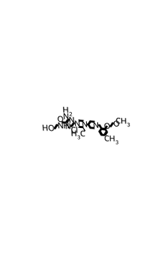 CC[C@H]1CN(c2nc(N)c(C(=O)NCCO)nc2Cl)CCN1C1CCN(Cc2ccc(C)cc2OCCOC)CC1